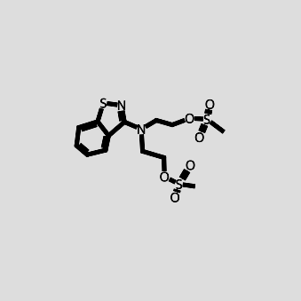 CS(=O)(=O)OCCN(CCOS(C)(=O)=O)c1nsc2ccccc12